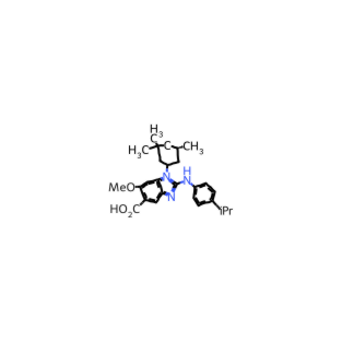 COc1cc2c(cc1C(=O)O)nc(Nc1ccc(C(C)C)cc1)n2C1C[C@H](C)CC(C)(C)C1